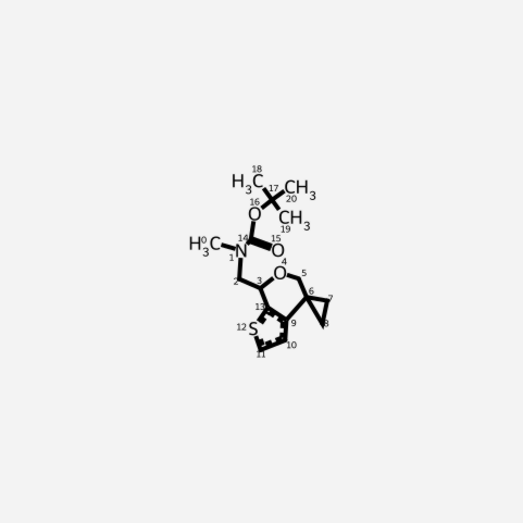 CN(CC1OCC2(CC2)c2ccsc21)C(=O)OC(C)(C)C